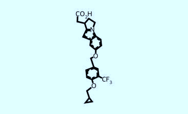 O=C(O)CC1CCn2c1cc1cc(OCc3ccc(OCC4CC4)c(C(F)(F)F)c3)ccc12